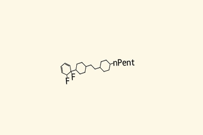 CCCCCC1CCC(CCC2CCC(C3(F)C=CC=CC3F)CC2)CC1